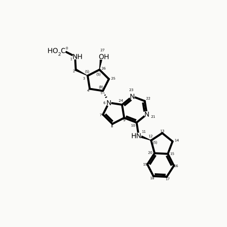 O=C(O)NC[C@@H]1C[C@@H](n2ccc3c(N[C@H]4CCc5ccccc54)ncnc32)C[C@@H]1O